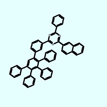 c1ccc(-c2nc(-c3cccc(-c4cc(-c5ccccc5)c(-c5ccccc5)c(-c5ccccc5)c4-c4ccccc4)c3)nc(-c3ccc4ccccc4c3)n2)cc1